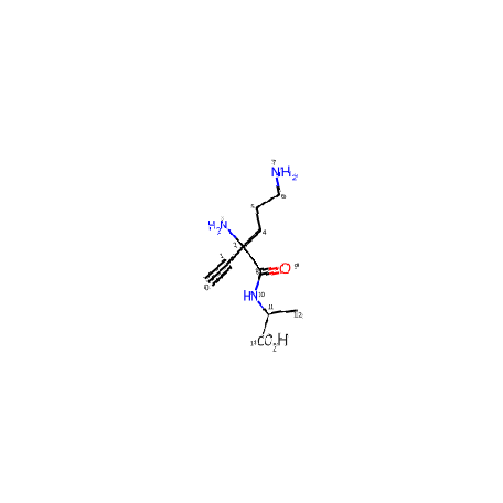 C#CC(N)(CCCN)C(=O)NC(C)C(=O)O